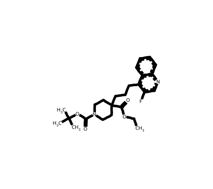 CCOC(=O)C1(CCCc2c(F)cnc3ccccc23)CCN(C(=O)OC(C)(C)C)CC1